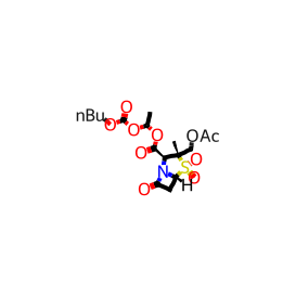 CCCCOC(=O)OC(C)OC(=O)[C@@H]1N2C(=O)C[C@H]2S(=O)(=O)[C@@]1(C)COC(C)=O